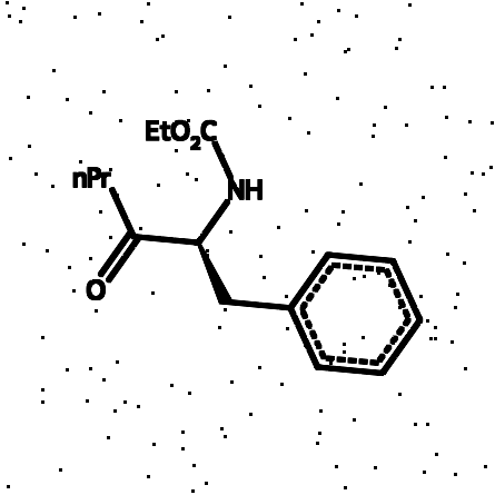 CCCC(=O)[C@H](Cc1ccccc1)NC(=O)OCC